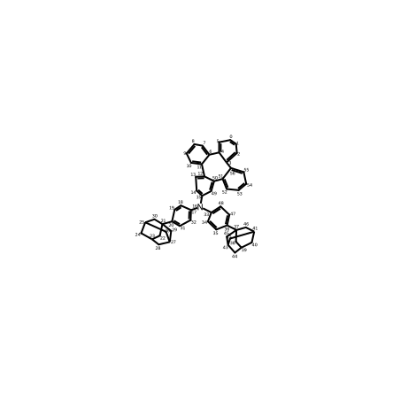 c1ccc2c(c1)-c1ccccc1-c1ccc(N(c3ccc(C45CC6CC(CC(C6)C4)C5)cc3)c3ccc(C45CC6CC(CC(C6)C4)C5)cc3)cc1-c1ccccc1-2